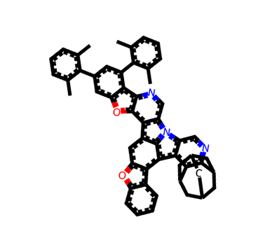 Cc1cccc(C)c1-c1cc(-c2c(C)cccc2C)c2c(c1)oc1c2ncc2c1c1cc3oc4ccccc4c3c3c4c5c(ncc4n2c13)C1CC2CC(C1)CC5C2